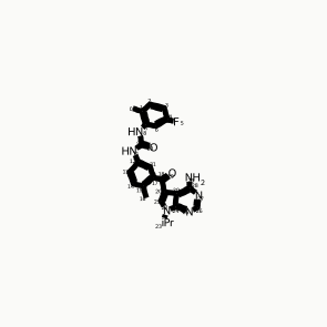 Cc1ccc(F)cc1NC(=O)Nc1ccc(C)c(C(=O)c2cn(C(C)C)c3ncnc(N)c23)c1